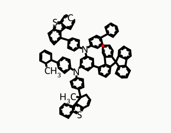 CC1C=CC=CC1c1ccc(N(c2ccc(C3(C)CC=Cc4sc5ccccc5c43)cc2)c2cc(-c3cccc4c3-c3ccccc3C43c4ccccc4-c4ccccc43)cc(N(c3ccc(-c4ccccc4)cc3)c3ccc(-c4cccc5sc6ccccc6c45)cc3)c2)cc1